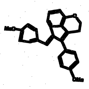 COc1ccc(/C=C2/C(c3ccc(OC)cc3)=C3CCOc4cccc2c43)cc1